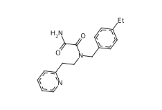 CCc1ccc(CN(CCc2ccccn2)C(=O)C(N)=O)cc1